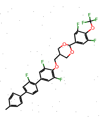 Cc1ccc(-c2ccc(-c3cc(F)c(OCC4COC(c5cc(F)c(OC(F)(F)F)c(F)c5)OC4)c(F)c3)c(F)c2)cc1